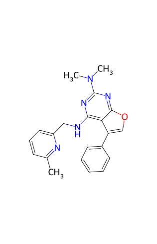 Cc1cccc(CNc2nc(N(C)C)nc3occ(-c4ccccc4)c23)n1